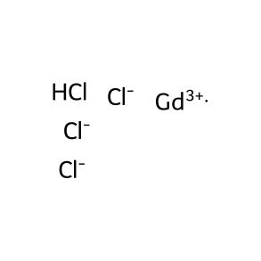 Cl.[Cl-].[Cl-].[Cl-].[Gd+3]